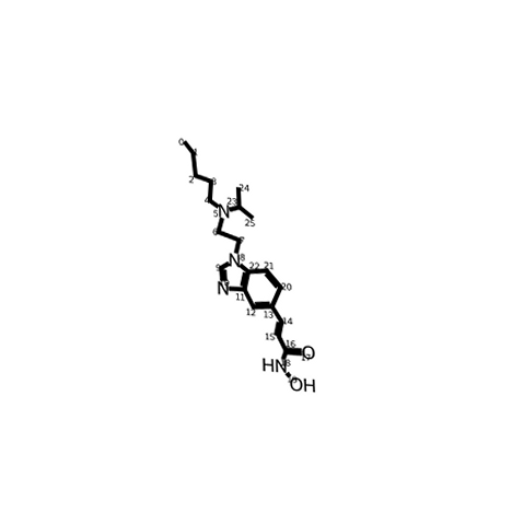 CCCCCN(CCn1cnc2cc(C=CC(=O)NO)ccc21)C(C)C